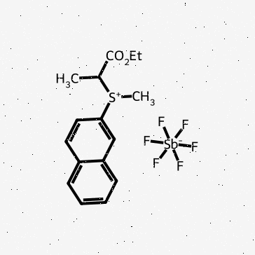 CCOC(=O)C(C)[S+](C)c1ccc2ccccc2c1.[F][Sb-]([F])([F])([F])([F])[F]